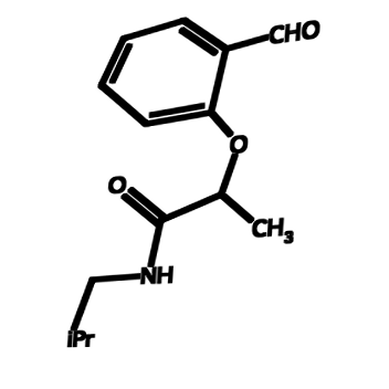 CC(C)CNC(=O)C(C)Oc1ccccc1C=O